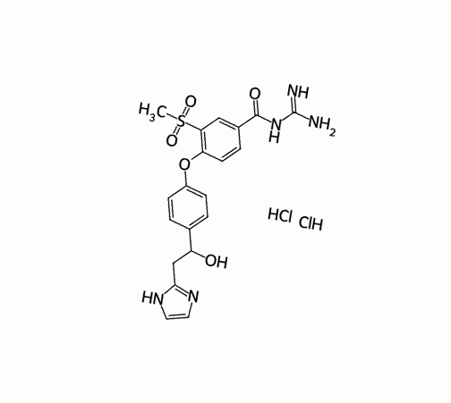 CS(=O)(=O)c1cc(C(=O)NC(=N)N)ccc1Oc1ccc(C(O)Cc2ncc[nH]2)cc1.Cl.Cl